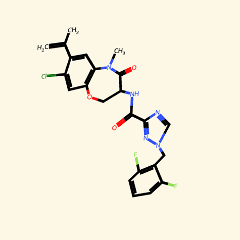 C=C(C)c1cc2c(cc1Cl)OCC(NC(=O)c1ncn(Cc3c(F)cccc3F)n1)C(=O)N2C